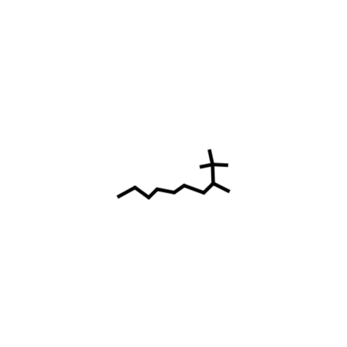 CCCCCCC[C](C)C(C)(C)C